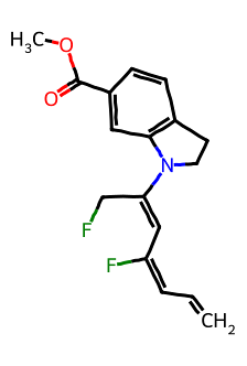 C=C/C=C(F)\C=C(/CF)N1CCc2ccc(C(=O)OC)cc21